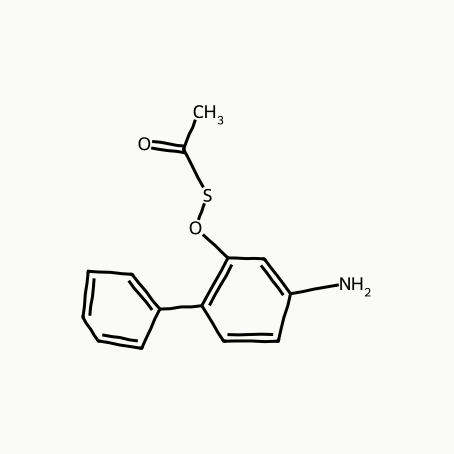 CC(=O)SOc1cc(N)ccc1-c1ccccc1